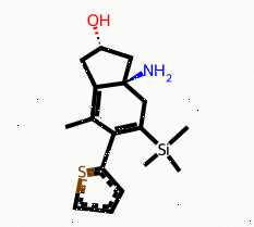 CC1=C2C[C@H](O)C[C@]2(N)CC([Si](C)(C)C)=C1c1cccs1